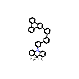 CC1(C)c2ccccc2N(c2cccc(-c3cccc(-c4cccc(-c5ccc6c7ccccc7c7ccccc7c6c5)c4)c3)c2)c2ccccc21